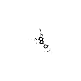 CC(=O)N(CCCCl)c1c(F)c(NC(=O)C(C)(C)C)c2c(=O)cc(-c3ccc(NC(=O)C(C)(C)C)c(F)c3)oc2c1F